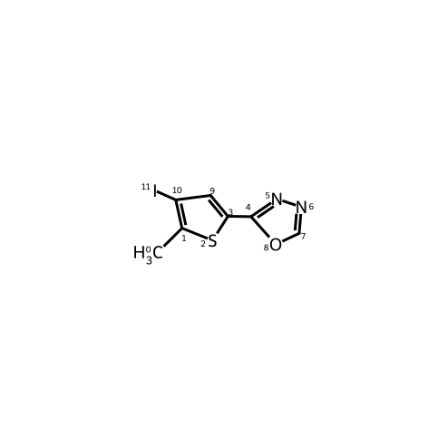 Cc1sc(-c2nnco2)cc1I